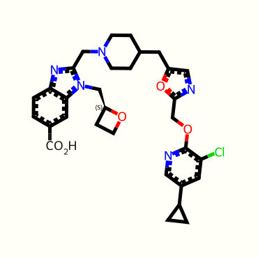 O=C(O)c1ccc2nc(CN3CCC(Cc4cnc(COc5ncc(C6CC6)cc5Cl)o4)CC3)n(C[C@@H]3CCO3)c2c1